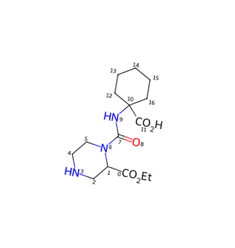 CCOC(=O)C1CNCCN1C(=O)NC1(C(=O)O)CCCCC1